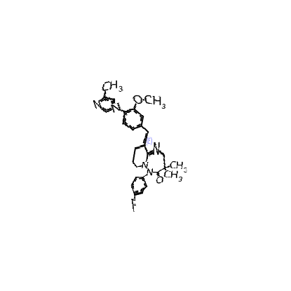 COc1cc(/C=C2\CCCN3C2=NCC(C)(C)C(=O)N3c2ccc(F)cc2)ccc1-n1cnc(C)c1